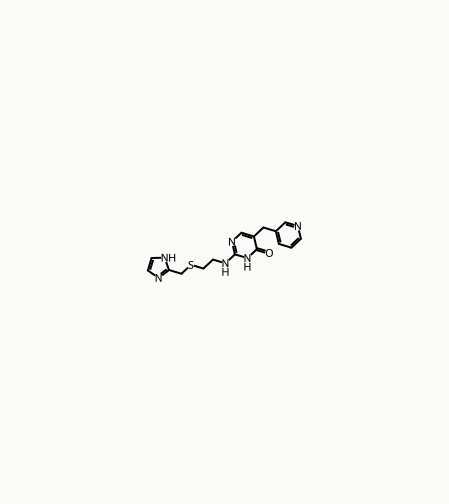 O=c1[nH]c(NCCSCc2ncc[nH]2)ncc1Cc1cccnc1